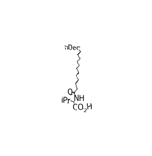 CCCCCCCCCCCCCCCCCCCCCC(=O)NC(C(=O)O)C(C)C